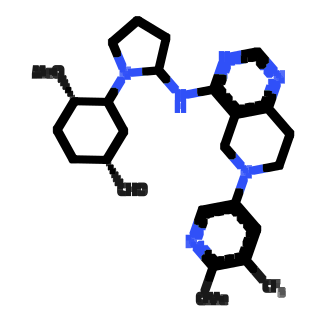 COc1ncc(N2CCc3ncnc(NC4CCCN4C4C[C@H](C=O)CC[C@@H]4OC)c3C2)cc1C(F)(F)F